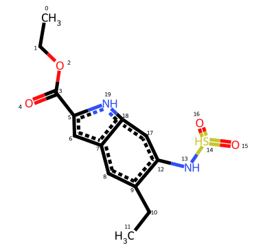 CCOC(=O)c1cc2cc(CC)c(N[SH](=O)=O)cc2[nH]1